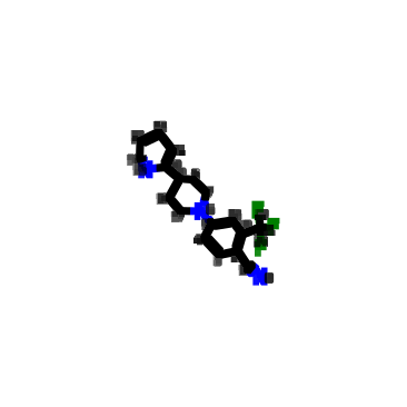 N#Cc1ccc(N2CCC(c3cc[c]cn3)CC2)cc1C(F)(F)F